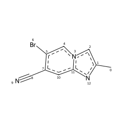 Cc1cn2cc(Br)c(C#N)cc2n1